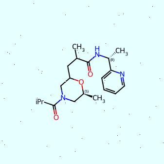 CC(C)C(=O)N1CC(CC(C)C(=O)N[C@H](C)c2ccccn2)O[C@@H](C)C1